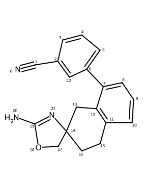 N#Cc1cccc(-c2cccc3c2CC2(CC3)COC(N)=N2)c1